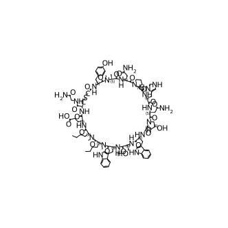 CCCC[C@H]1C(=O)N(C)[C@@H](CCCC)C(=O)N[C@@H](CCC(=O)O)C(=O)NC(C(=O)NCC(N)=O)CSCC(=O)N[C@@H](Cc2ccc(O)cc2)C(=O)N(C)[C@@H](C)C(=O)N[C@@H](CC(N)=O)C(=O)N2CCC[C@H]2C(=O)N[C@@H](Cc2c[nH]cn2)C(=O)N[C@@H](CC(N)=O)C(=O)N2C[C@H](O)C[C@H]2C(=O)N[C@@H](Cc2c[nH]c3ccccc23)C(=O)N[C@@H](CO)C(=O)N[C@@H](Cc2c[nH]c3ccccc23)C(=O)N1C